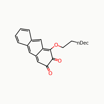 CCCCCCCCCCCCOC1=c2cc3ccccc3cc2=CC(=O)C1=O